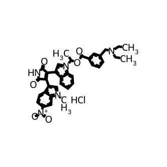 CCN(CC)Cc1cccc(C(=O)OC(C)n2cc(C3=C(c4cn(C)c5cc([N+](=O)[O-])ccc45)C(=O)NC3=O)c3ccccc32)c1.Cl